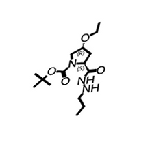 CCCNNC(=O)[C@@H]1C[C@@H](OCC)CN1C(=O)OC(C)(C)C